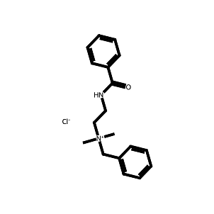 C[N+](C)(CCNC(=O)c1ccccc1)Cc1ccccc1.[Cl-]